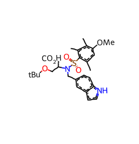 COc1cc(C)c(S(=O)(=O)N(Cc2ccc3[nH]ccc3c2)C(COC(C)(C)C)C(=O)O)c(C)c1C